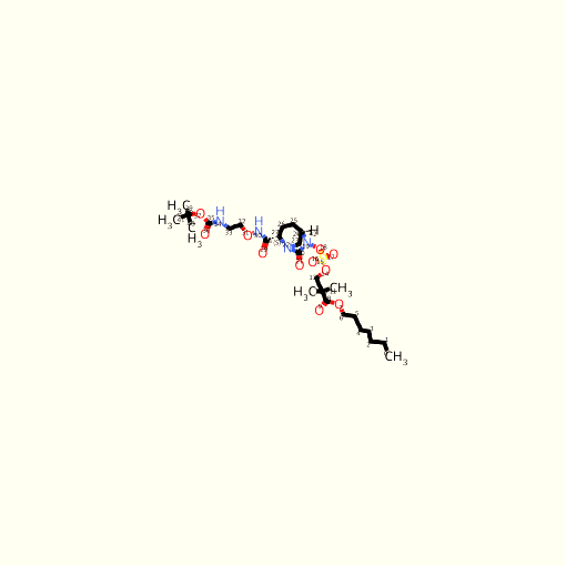 CCCCCCCOC(=O)C(C)(C)COS(=O)(=O)ON1C(=O)N2C[C@H]1CC[C@H]2C(=O)NOCCNC(=O)OC(C)(C)C